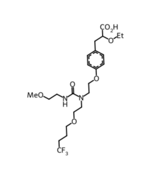 CCOC(Cc1ccc(OCCN(CCOCCCC(F)(F)F)C(=O)NCCOC)cc1)C(=O)O